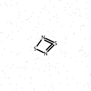 N1=S=NS1